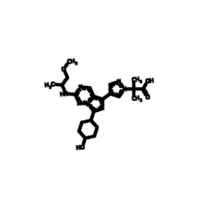 COCC(C)Nc1ncc2c(-c3cnn(C(C)(C)C(=O)O)c3)cc(C3CCC(O)CC3)n2n1